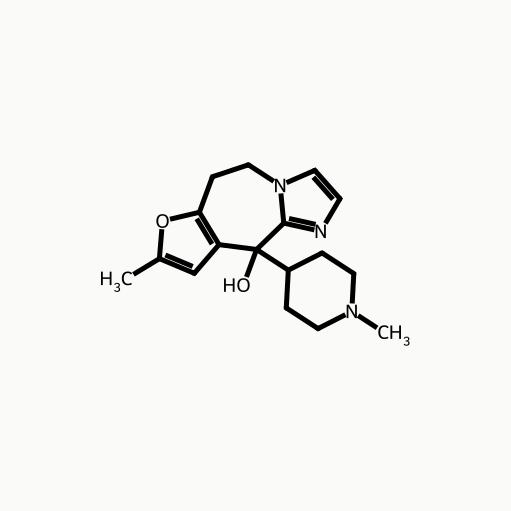 Cc1cc2c(o1)CCn1ccnc1C2(O)C1CCN(C)CC1